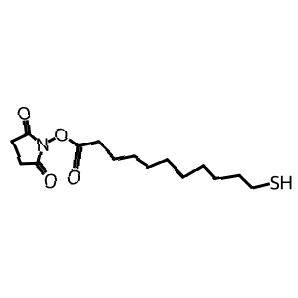 O=C(CCCCCCCCCCS)ON1C(=O)CCC1=O